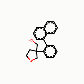 OCC1(c2ccccc2-c2cccc3ccccc23)CCOC1